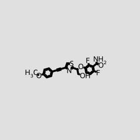 COc1ccc(C#Cc2csc(C(CO)Oc3ccc(F)c(C(N)=O)c3F)n2)cc1